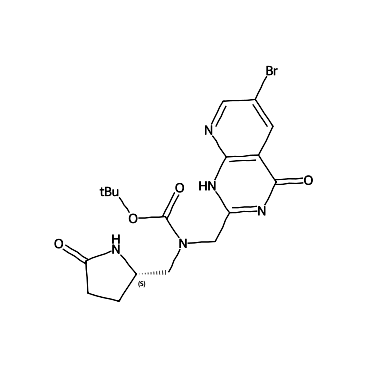 CC(C)(C)OC(=O)N(Cc1nc(=O)c2cc(Br)cnc2[nH]1)C[C@@H]1CCC(=O)N1